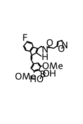 COc1cc(C=C2C(C)=C(CNC(=O)Cc3ccno3)c3cc(F)ccc32)cc(OC)c1B(O)O